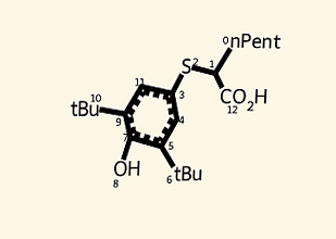 CCCCCC(Sc1cc(C(C)(C)C)c(O)c(C(C)(C)C)c1)C(=O)O